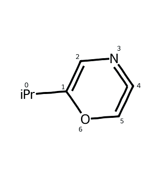 CC(C)C1=CN=C=CO1